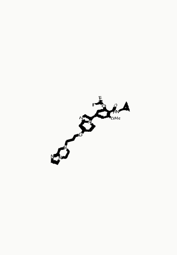 COc1cc(-c2cnc3cc(OCCCN4CCn5ccnc5C4)ccn23)cc(OC(F)F)c1C(=O)NC1CC1